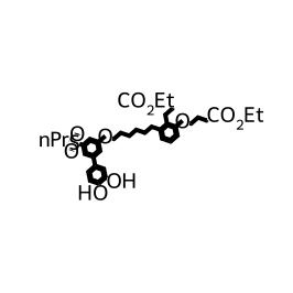 CCCS(=O)(=O)c1cc(OCCCCCCc2cccc(OCCCC(=O)OCC)c2CCC(=O)OCC)cc(-c2ccc(O)c(O)c2)c1